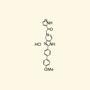 COc1ccc(-c2ccc(-c3nc4c([nH]3)C=CN(CC(=O)c3ccn[nH]3)C4)cc2)cc1.Cl